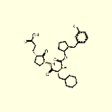 O=C(O)CC[C@H]1CCN(NC(=O)[C@H](CC2CCCCC2)NC(=O)OC2CCCC2Cc2cccc(Cl)c2)C1=O